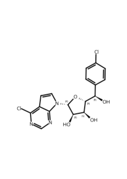 O[C@@H]1[C@H](O)[C@@H]([C@H](O)c2ccc(Cl)cc2)O[C@H]1n1ccc2c(Cl)ncnc21